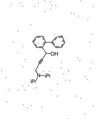 CC(C)N(CC#CC(O)c1ccccc1-c1ccccc1)C(C)C